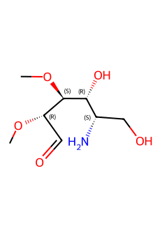 CO[C@@H]([C@H](O)[C@@H](N)CO)[C@H](C=O)OC